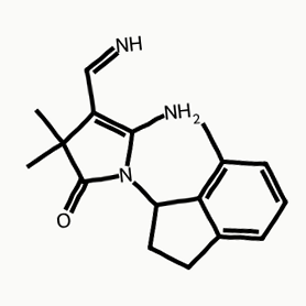 Cc1cccc2c1C(N1C(=O)C(C)(C)C(C=N)=C1N)CC2